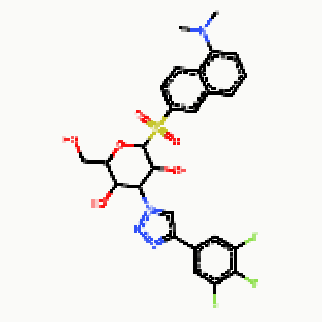 CN(C)c1cccc2cc(S(=O)(=O)C3OC(CO)C(O)C(n4cc(-c5cc(F)c(F)c(F)c5)nn4)C3O)ccc12